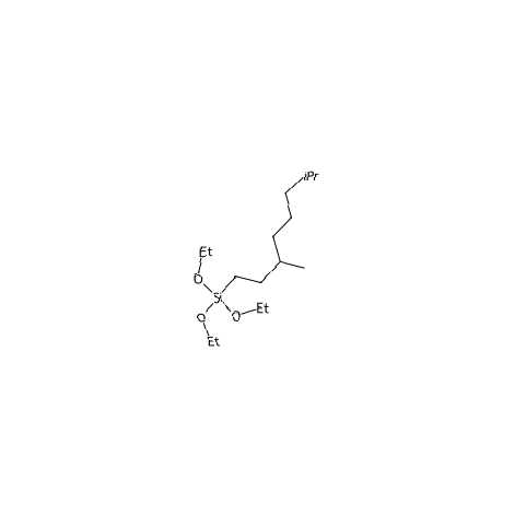 CCO[Si](CCC(C)CCCC(C)C)(OCC)OCC